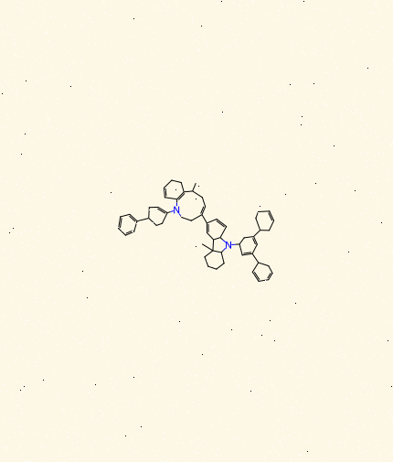 CC1C/C=C(/C2=CC3C(C=C2)N(C2C=C(C4C=CC=CC4)C=C(C4CC=CCC4)C2)C2CCCCC32C)CCN(C2=CCC(c3ccccc3)CC2)C2=C1CCC=C2